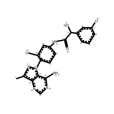 Cc1nn(-c2ccc(NC(=O)C(O)c3cccc(Cl)c3)cc2Cl)c2c(N)ncnc12